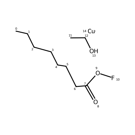 CCCCCCCC(=O)OF.CCO.[Cu]